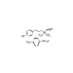 CCCCCCC[N+](C)(C)CCCc1ccc(Cl)cc1.Cc1ccc(S(=O)(=O)O)cc1